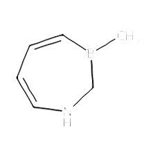 CB1C=CC=CNC1